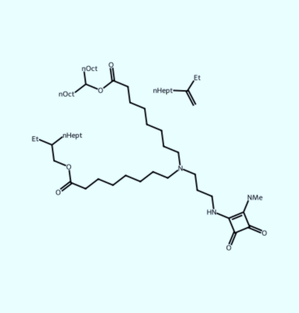 C=C(CC)CCCCCCC.CCCCCCCCC(CCCCCCCC)OC(=O)CCCCCCCN(CCCCCCCC(=O)OCC(CC)CCCCCCC)CCCNc1c(NC)c(=O)c1=O